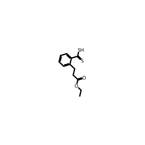 CCOC(=O)CCc1ccccc1C(=S)S